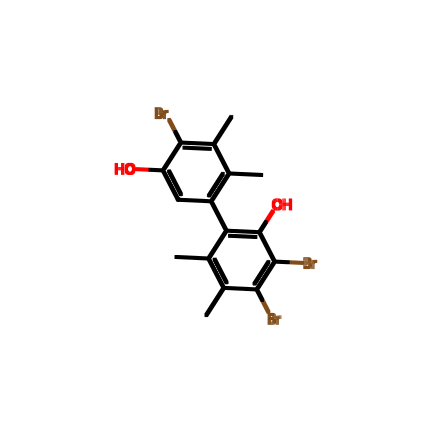 Cc1c(-c2c(C)c(C)c(Br)c(Br)c2O)cc(O)c(Br)c1C